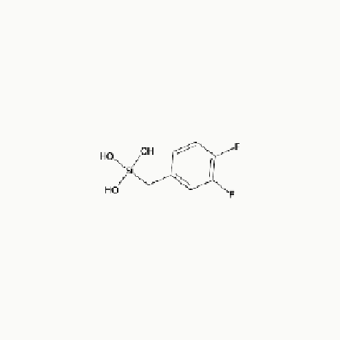 O[Si](O)(O)Cc1ccc(F)c(F)c1